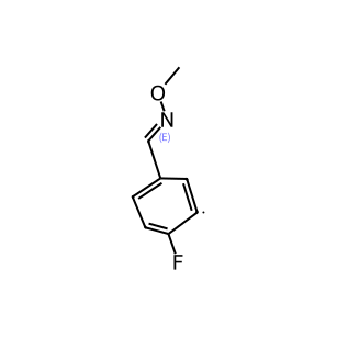 CO/N=C/c1c[c]c(F)cc1